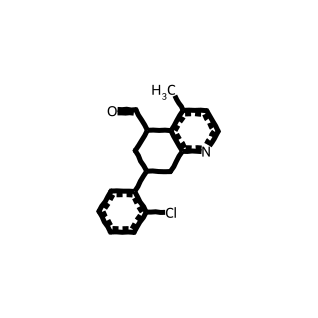 Cc1ccnc2c1C(C=O)CC(c1ccccc1Cl)C2